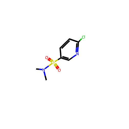 CN(C)S(=O)(=O)c1ccc(Cl)nc1